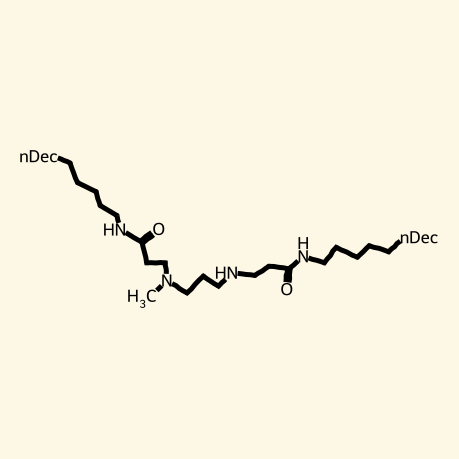 CCCCCCCCCCCCCCCNC(=O)CCNCCCN(C)CCC(=O)NCCCCCCCCCCCCCCC